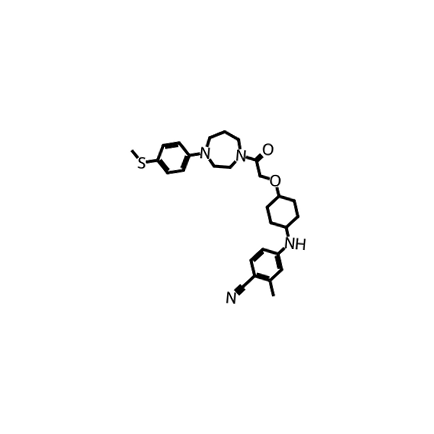 CSc1ccc(N2CCCN(C(=O)COC3CCC(Nc4ccc(C#N)c(C)c4)CC3)CC2)cc1